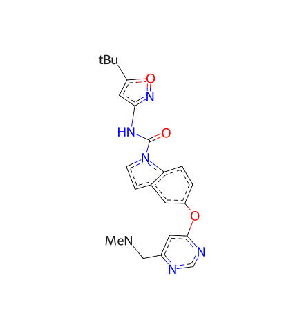 CNCc1cc(Oc2ccc3c(ccn3C(=O)Nc3cc(C(C)(C)C)on3)c2)ncn1